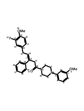 COc1cccc(N2CCN(C(=O)C/C(=C/Cc3ccc(OC)c(F)c3)c3ccccc3)CC2)c1